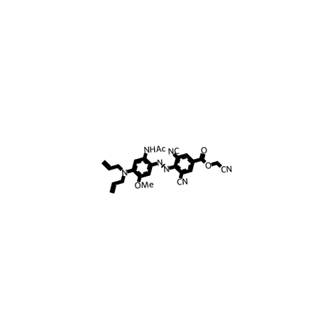 C=CCN(CC=C)c1cc(NC(C)=O)c(/N=N/c2c(C#N)cc(C(=O)OCC#N)cc2C#N)cc1OC